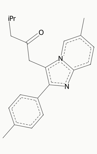 Cc1ccc(-c2nc3ccc(C)cn3c2CC(=O)CC(C)C)cc1